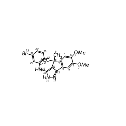 COc1cc2c(cc1OC)C(C)(C)c1c-2n[nH]c1Nc1cccc(Br)c1